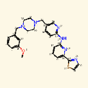 COc1cccc(CN2CCN(Cc3ccc(Nc4cccc(-c5nccs5)n4)nc3)CC2)c1